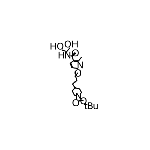 Cc1nc(OCCCC2CCN(C(=O)OC(C)(C)C)CC2)ccc1C(=O)NC(CO)CO